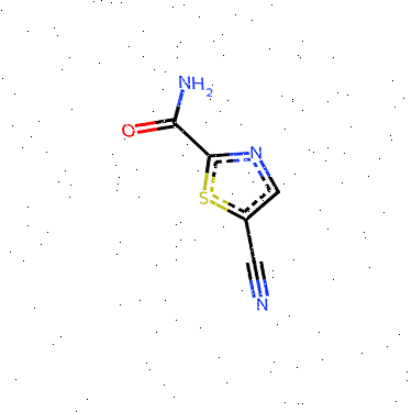 N#Cc1cnc(C(N)=O)s1